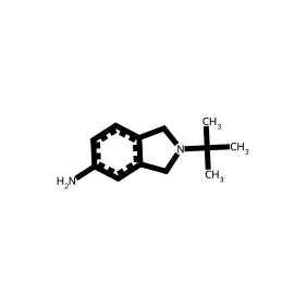 CC(C)(C)N1Cc2ccc(N)cc2C1